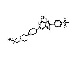 Cn1c(-c2ccc(S(C)(=O)=O)cc2)nc2c(C(F)(F)F)nc(C3CCN(C4CCN(CC(C)(C)O)CC4)CC3)cc21